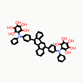 Oc1c(O)c(O)c(N(c2ccccc2)c2ccc(-c3cc4c5ccccc5c(-c5ccc(N(c6ccccc6)c6c(O)c(O)c(O)c(O)c6O)cc5)cc4c4ccccc34)cc2)c(O)c1O